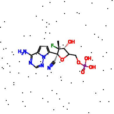 C[C@@]1(F)[C@H](O)C(COP(=O)(O)O)O[C@@]1(C#N)c1ccc2c(N)ncnn12